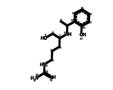 CC(NC(CO)CCCNC(=N)N)c1ccccc1O